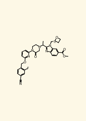 COC(=O)c1ccc2nc(C(C)N3CCN(c4cccc(OCc5ccc(C#N)cc5F)n4)C(=O)C3)n(C[C@@H]3CCO3)c2c1